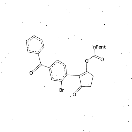 CCCCCC(=O)OC1=C(c2ccc(C(=O)c3ccccc3)cc2Br)C(=O)CC1